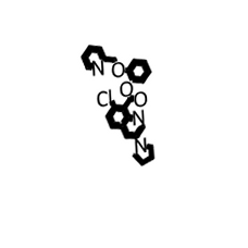 O=C(Oc1ccccc1OCc1ccccn1)c1c(Cl)ccc2cc(N3CCCC3)cnc12